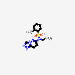 O=Cc1ccccc1S(=O)(=O)N(CC(=O)O)c1ccc2nncn2n1